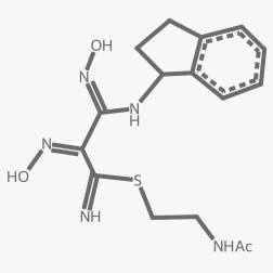 CC(=O)NCCSC(=N)C(=N\O)/C(=N/O)NC1CCc2ccccc21